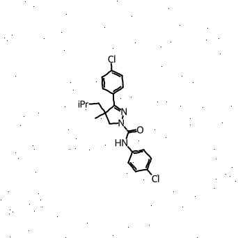 CC(C)CC1(C)CN(C(=O)Nc2ccc(Cl)cc2)N=C1c1ccc(Cl)cc1